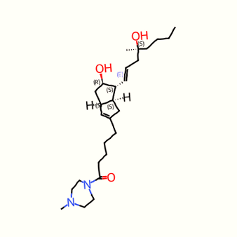 CCCC[C@](C)(O)C/C=C/[C@@H]1[C@H]2CC(CCCCC(=O)N3CCN(C)CC3)=C[C@H]2C[C@H]1O